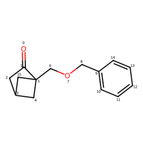 O=C1CC2CC1(COCc1ccccc1)C2